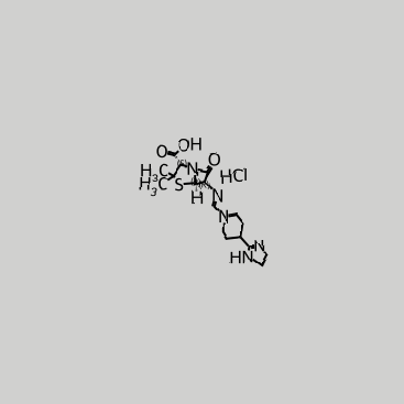 CC1(C)S[C@@H]2[C@H](N=CN3CCC(C4=NCCN4)CC3)C(=O)N2[C@H]1C(=O)O.Cl